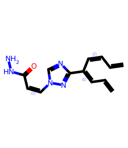 C=C/C=C\C(=C/C=C)c1ncn(/C=C\C(=O)NN)n1